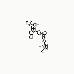 O=C(N1CCC(c2nn(CC(O)C(F)(F)F)c3ccc(Cl)cc23)CC1)N1CC2(CC(c3nnc(C4CC4)[nH]3)C2)C1